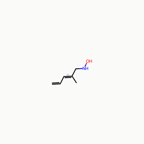 C=C/C=C(\C)CNO